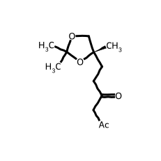 CC(=O)CC(=O)CC[C@@]1(C)COC(C)(C)O1